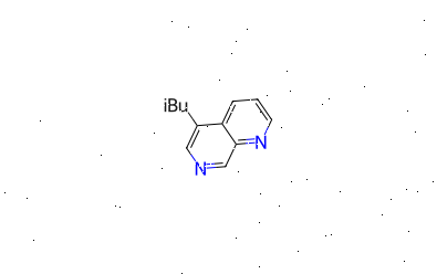 CCC(C)c1cncc2ncccc12